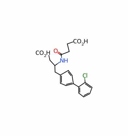 O=C(O)CCC(=O)NC(CC(=O)O)Cc1ccc(-c2ccccc2Cl)cc1